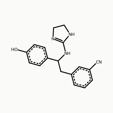 N#Cc1cccc(CC(NC2=NCCN2)c2ccc(O)cc2)c1